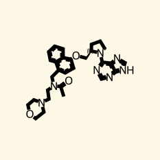 CC(=O)N(CCN1CCOCC1)Cc1ccc(OC[C@H]2CCCN2c2ncnc3[nH]cnc23)c2ccccc12